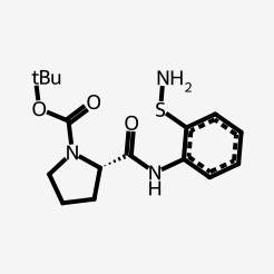 CC(C)(C)OC(=O)N1CCC[C@H]1C(=O)Nc1ccccc1SN